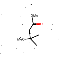 COC(=O)CC(C)(C)OC